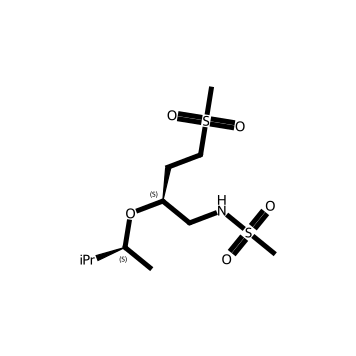 CC(C)[C@H](C)O[C@@H](CCS(C)(=O)=O)CNS(C)(=O)=O